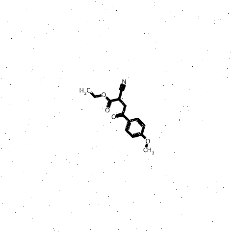 CCOC(=O)C(C#N)CC(=O)c1ccc(OC)cc1